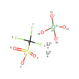 O=S(=O)([O-])C(F)(F)F.[Li+].[Li+].[O-][Cl+3]([O-])([O-])[O-]